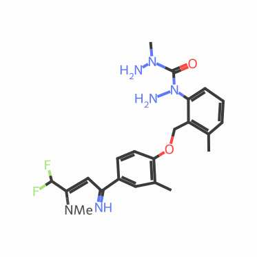 CN/C(=C\C(=N)c1ccc(OCc2c(C)cccc2N(N)C(=O)N(C)N)c(C)c1)C(F)F